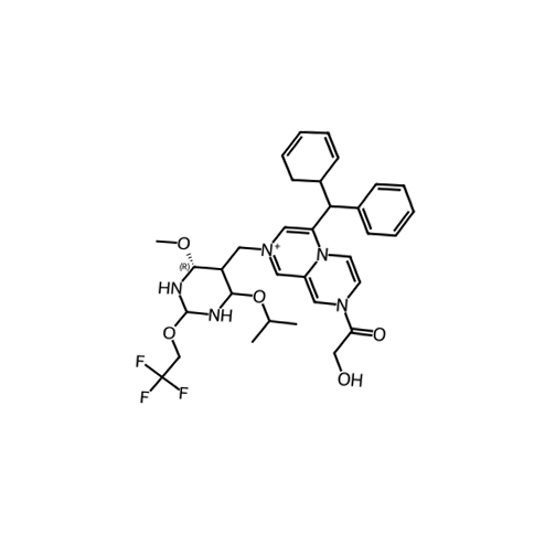 CO[C@H]1NC(OCC(F)(F)F)NC(OC(C)C)C1C[N+]1=CC2=CN(C(=O)CO)C=CN2C(C(c2ccccc2)C2C=CC=CC2)=C1